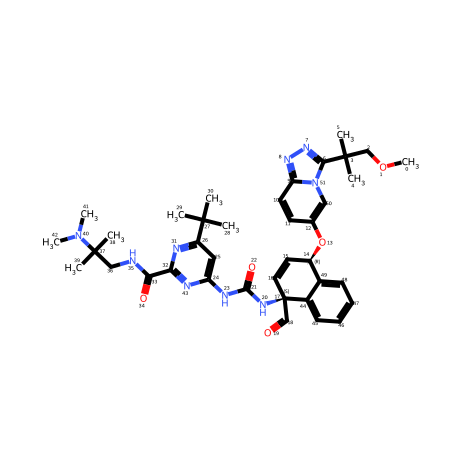 COCC(C)(C)c1nnc2ccc(O[C@@H]3C=C[C@](C=O)(NC(=O)Nc4cc(C(C)(C)C)nc(C(=O)NCC(C)(C)N(C)C)n4)c4ccccc43)cn12